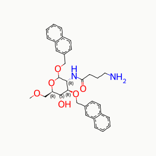 COC[C@H]1OC(OCc2ccc3ccccc3c2)[C@H](NC(=O)CCCN)[C@@H](OCc2ccc3ccccc3c2)[C@@H]1O